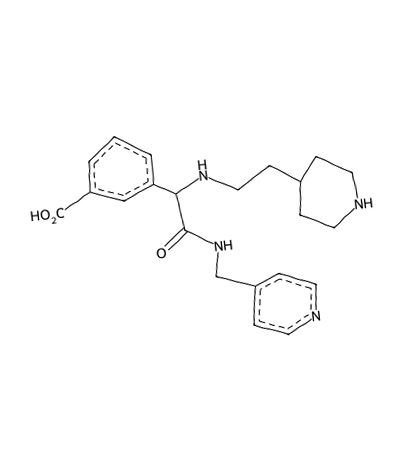 O=C(O)c1cccc(C(NCCC2CCNCC2)C(=O)NCc2ccncc2)c1